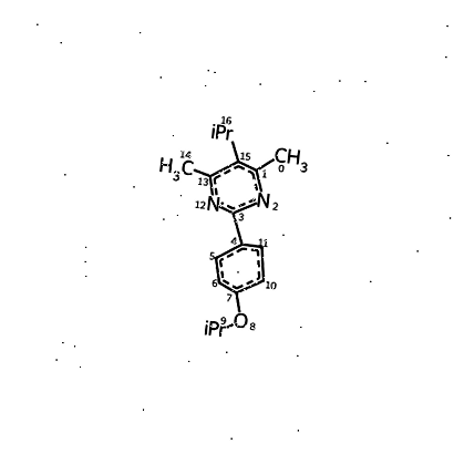 Cc1nc(-c2ccc(OC(C)C)cc2)nc(C)c1C(C)C